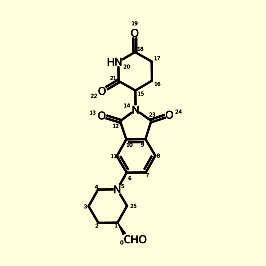 O=C[C@H]1CCCN(c2ccc3c(c2)C(=O)N(C2CCC(=O)NC2=O)C3=O)C1